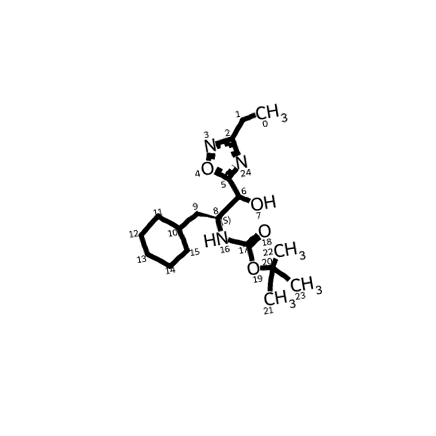 CCc1noc(C(O)[C@H](CC2CCCCC2)NC(=O)OC(C)(C)C)n1